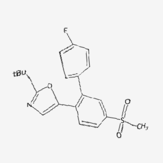 CC(C)(C)c1ncc(-c2ccc(S(C)(=O)=O)cc2-c2ccc(F)cc2)o1